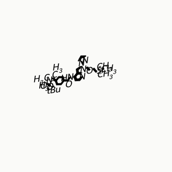 CC(N(C)C(=O)OC(C)(C)C)C1(C)CCC(C(=O)Nc2ccnc3c2cc(-n2cccn2)n3COCC[Si](C)(C)C)CC1